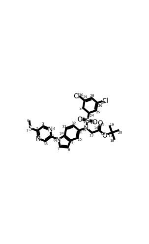 CSc1cnc(-n2ccc3cc(N(CC(=O)OC(C)(C)C)S(=O)(=O)C4C=C(Cl)C=C(Cl)C4)ccc32)cn1